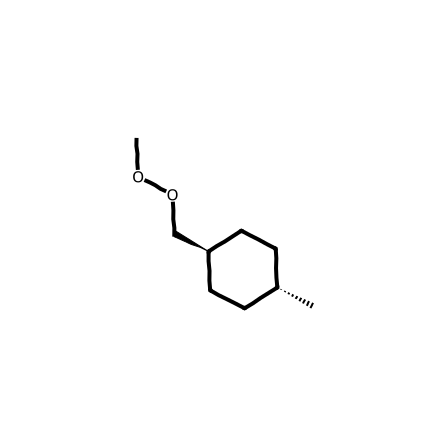 COOC[C@H]1CC[C@H](C)CC1